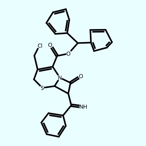 N=C(c1ccccc1)C1C(=O)N2C(C(=O)OC(c3ccccc3)c3ccccc3)=C(CCl)CSC12